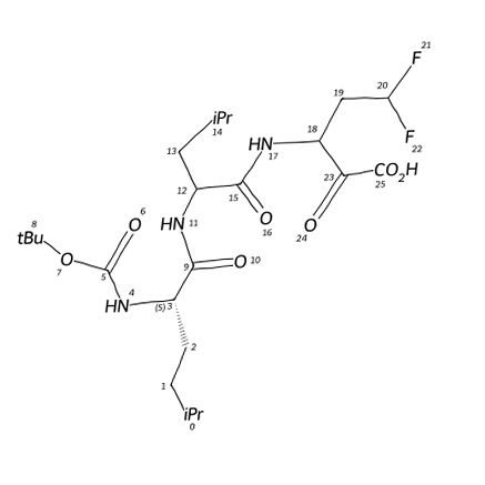 CC(C)CC[C@H](NC(=O)OC(C)(C)C)C(=O)NC(CC(C)C)C(=O)NC(CC(F)F)C(=O)C(=O)O